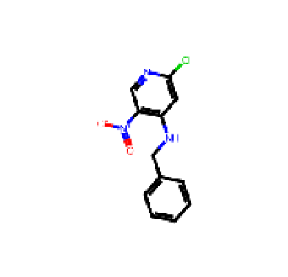 O=[N+]([O-])c1cnc(Cl)cc1NCc1ccccc1